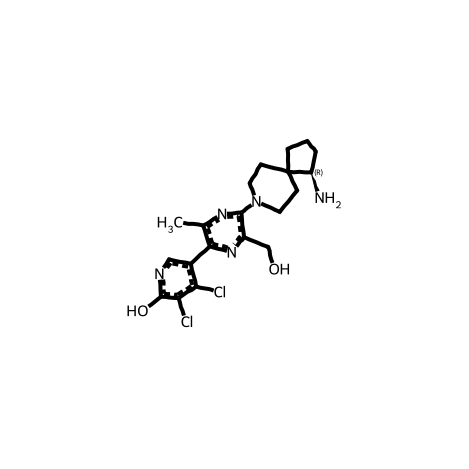 Cc1nc(N2CCC3(CCC[C@H]3N)CC2)c(CO)nc1-c1cnc(O)c(Cl)c1Cl